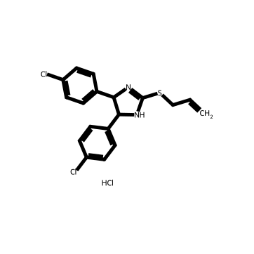 C=CCSC1=NC(c2ccc(Cl)cc2)C(c2ccc(Cl)cc2)N1.Cl